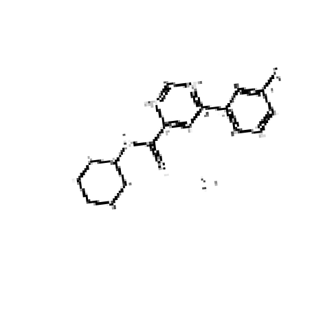 N.O=C(OC1CCCCC1)c1cc(-c2cccc(Cl)c2)ncn1